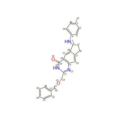 Cc1ccc(NC2CCc3cc4nc(COCc5ccccc5)[nH]c(=O)c4cc32)cc1